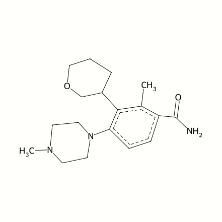 Cc1c(C(N)=O)ccc(N2CCN(C)CC2)c1C1CCCOC1